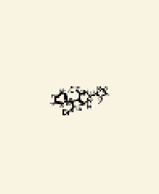 Cn1ccnc1C1N=C(Cl)c2c(sc(Br)c2-c2ccccc2)N1